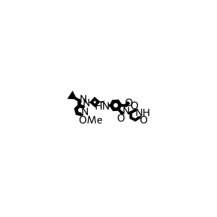 COc1ccc2c(C3CC3)nn([C@H]3C[C@H](CNc4ccc5c(c4)C(=O)N(C4CCC(=O)NC4=O)C5=O)C3)c2n1